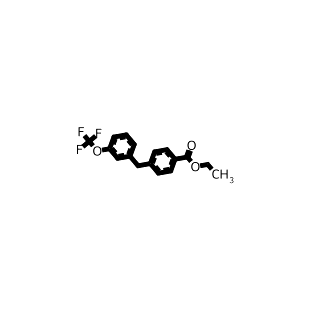 CCOC(=O)c1ccc(Cc2cccc(OC(F)(F)F)c2)cc1